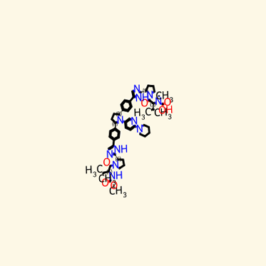 COC(=O)N[C@H](C(=O)N1CCC[C@H]1c1ncc(-c2ccc([C@H]3CC[C@H](c4ccc(-c5cnc([C@@H]6CCCN6C(=O)[C@H](C(C)C)N(C)C(=O)O)[nH]5)cc4)N3c3ccc(N4CCCCC4)nc3)cc2)[nH]1)C(C)C